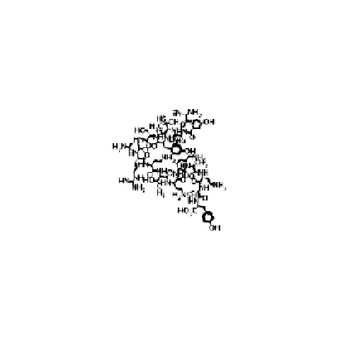 CC[C@H](C)[C@H](NC(=O)[C@@H]1C[C@@H](O)CN1C(=O)[C@@H](N)C(C)C)C(=O)N[C@H](C(=O)N[C@@H](Cc1ccc(O)cc1)C(=O)N[C@@H](CO)C(=O)N[C@@H](CC(N)=O)C(=O)N[C@@H](CCCNC(=N)N)C(=O)N[C@@H](CCN)C(=O)N[C@H](C(=O)N[C@H](CCN)C(=O)N[C@@H](CCCCN)C(=O)N[C@@H](C)C(=O)N[C@@H](CCN)C(=O)N[C@@H](CS)C(=O)N[C@@H](Cc1ccc(O)cc1)C(=O)O)[C@@H](C)O)C(C)(C)S